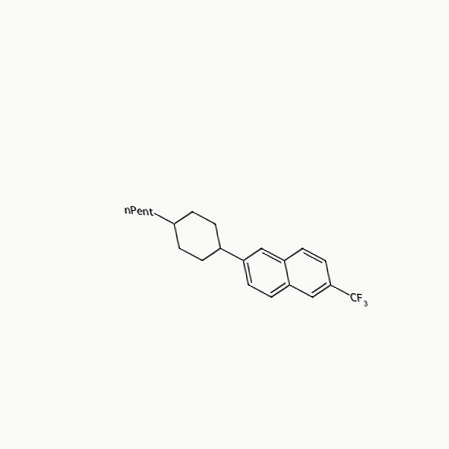 CCCCCC1CCC(c2ccc3cc(C(F)(F)F)ccc3c2)CC1